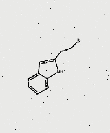 BrCCc1cc2ccccc2[nH]1